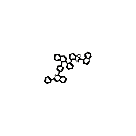 c1ccc(-c2cc3ccccc3c(-c3ccc(-c4c(-c5ccccc5-c5cccc6oc(-c7cccc8ccccc78)nc56)ccc5ccccc45)cc3)n2)cc1